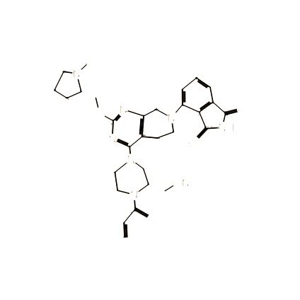 C=CC(=O)N1CCN(c2nc(OC[C@@H]3CCCN3C)nc3c2CCN(c2cccc4c2C(=O)NC4=O)C3)C[C@@H]1CC#N